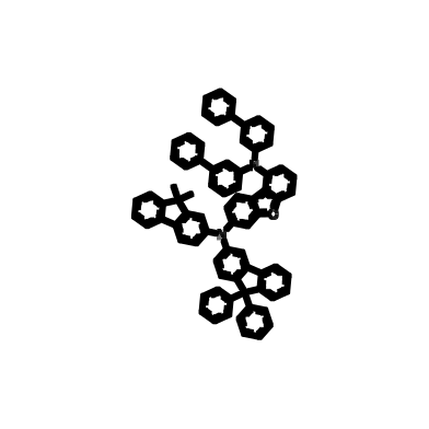 CC1(C)c2ccccc2-c2ccc(N(c3ccc4c(c3)-c3ccccc3C4(c3ccccc3)c3ccccc3)c3ccc4c(c3)oc3cccc(N(c5cccc(-c6ccccc6)c5)c5cccc(-c6ccccc6)c5)c34)cc21